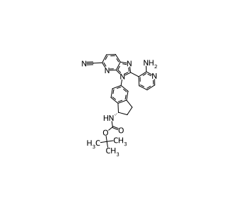 CC(C)(C)OC(=O)N[C@H]1CCc2cc(-n3c(-c4cccnc4N)nc4ccc(C#N)nc43)ccc21